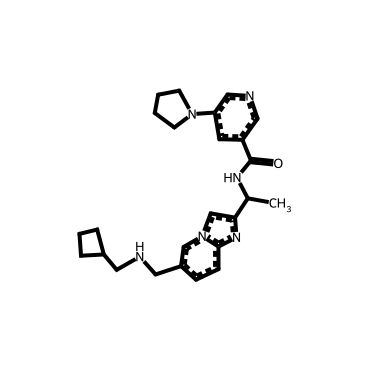 CC(NC(=O)c1cncc(N2CCCC2)c1)c1cn2cc(CNCC3CCC3)ccc2n1